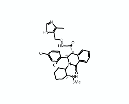 CSN[C@H]1CCCCC1N1C(=O)c2ccccc2[C@@H](C(=O)NOCc2[nH]cnc2C)[C@@H]1c1ccc(Cl)cc1Cl